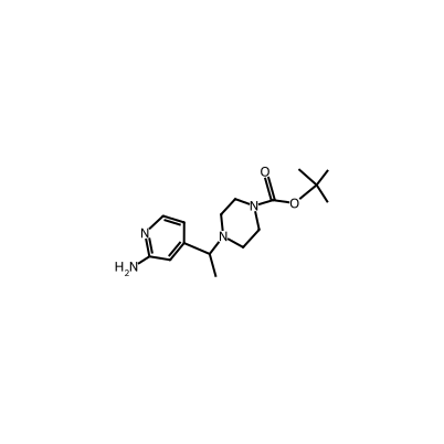 CC(c1ccnc(N)c1)N1CCN(C(=O)OC(C)(C)C)CC1